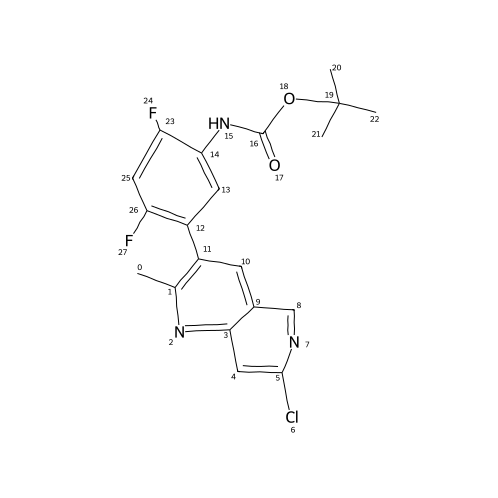 Cc1nc2cc(Cl)ncc2cc1-c1cc(NC(=O)OC(C)(C)C)c(F)cc1F